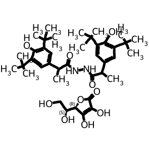 CC(C(=O)NNC(=O)C(C)c1cc(C(C)(C)C)c(O)c(C(C)(C)C)c1)c1cc(C(C)(C)C)c(O)c(C(C)(C)C)c1.O=C1O[C@H]([C@@H](O)CO)C(O)=C1O